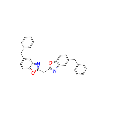 c1ccc(Cc2ccc3oc(Cc4nc5cc(Cc6ccccc6)ccc5o4)nc3c2)cc1